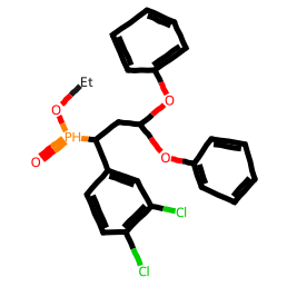 CCO[PH](=O)C(CC(Oc1ccccc1)Oc1ccccc1)c1ccc(Cl)c(Cl)c1